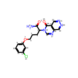 NC(=O)C(CCCOc1cccc(Cl)c1)n1cnc2cnncc2c1=O